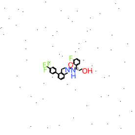 O=C(N[C@@H](CCO)c1cccc(F)c1)N1CCc2c(cccc2-c2ccc(C(F)(F)F)cc2)C1